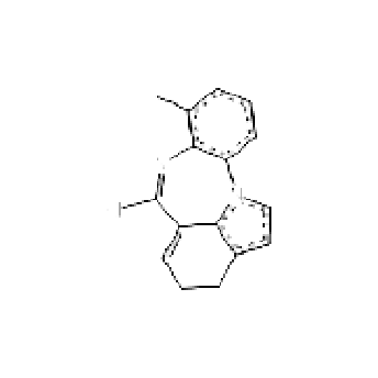 Cc1cccc2c1N=C(Cl)C1=CCCc3ccn-2c31